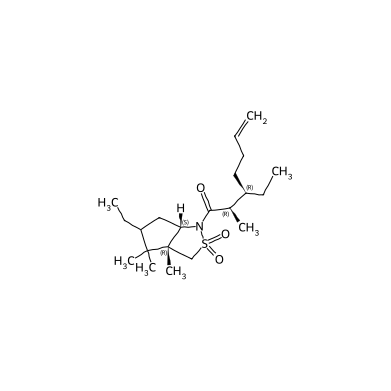 C=CCC[C@@H](CC)[C@@H](C)C(=O)N1[C@H]2CC(CC)C(C)(C)[C@@]2(C)CS1(=O)=O